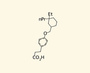 CCCC1(CC)CCCC(COc2ccc(CCC(=O)O)cc2)C1